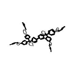 CC#CCOc1ccc(C(Cl)(c2ccc(OCC#CC)cc2)c2ccc(-c3ccc(C(Cl)(c4ccc(OCC#CC)cc4)c4ccc(OCC#CC)cc4)cc3)cc2)cc1